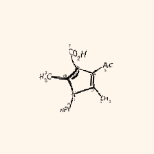 CCCn1c(C)c(C(C)=O)c(C(=O)O)c1C